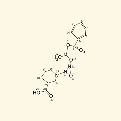 CC(OC(=O)c1ccccc1)On1on1N1CCCC(C(=O)O)C1